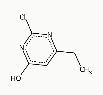 CCc1cc(O)nc(Cl)n1